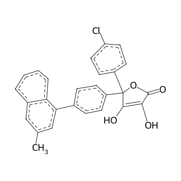 Cc1cc(-c2ccc(C3(c4ccc(Cl)cc4)OC(=O)C(O)=C3O)cc2)c2ccccc2c1